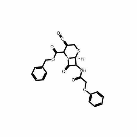 O=C=C1CS[C@H]2C(NC(=O)COc3ccccc3)C(=O)N2C1C(=O)OCc1ccccc1